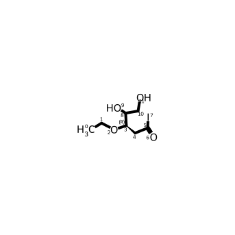 CCO[C@H](CC(=O)I)C(O)CO